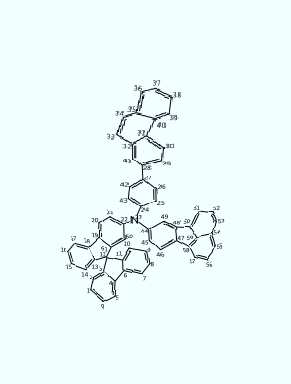 c1ccc2c(c1)-c1ccccc1C21c2ccccc2-c2ccc(N(c3ccc(-c4ccc5c(ccc6ccccc65)c4)cc3)c3ccc4c(c3)-c3cccc5cccc-4c35)cc21